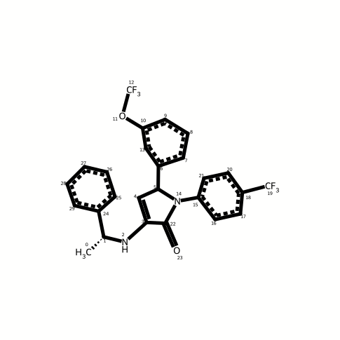 C[C@@H](NC1=CC(c2cccc(OC(F)(F)F)c2)N(c2ccc(C(F)(F)F)cc2)C1=O)c1ccccc1